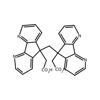 O=C(O)CC1(CC2(CC(=O)O)c3cccnc3-c3ncccc32)c2cccnc2-c2ncccc21